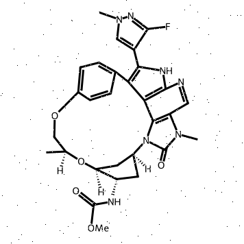 COC(=O)N[C@H]1C[C@H]2C[C@@H]1O[C@@H](C)COc1ccc(cc1)-c1c(-c3cn(C)nc3F)[nH]c3ncc4c(c13)n2c(=O)n4C